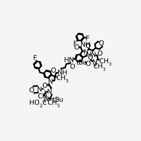 CC1COCCN1C[C@H]1CN(C(=O)O)[C@](C)(C(C)(C)C)CN1CC(=O)N1CC(C)(C(=O)NCCCC(=O)Nc2ccc3c(c2)C(C(=O)Nc2c(F)cccc2F)N(C(=O)C(NC(=O)C(C)N(C)C(=O)OC(C)(C)C)C2CCOCC2)C3)c2ccc(Cc3ccc(F)cc3)cc21